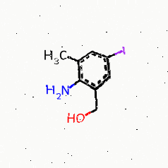 Cc1cc(I)cc(CO)c1N